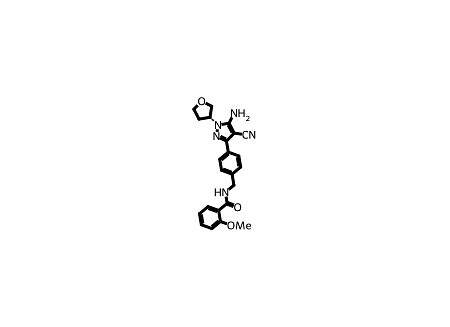 COc1ccccc1C(=O)NCc1ccc(-c2nn([C@@H]3CCOC3)c(N)c2C#N)cc1